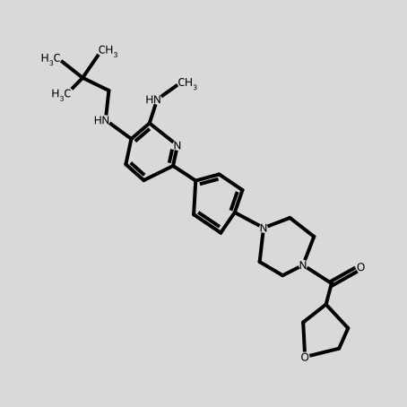 CNc1nc(-c2ccc(N3CCN(C(=O)C4CCOC4)CC3)cc2)ccc1NCC(C)(C)C